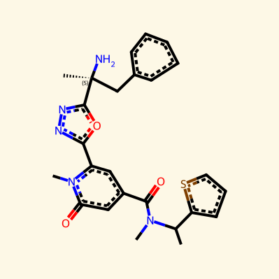 CC(c1cccs1)N(C)C(=O)c1cc(-c2nnc([C@@](C)(N)Cc3ccccc3)o2)n(C)c(=O)c1